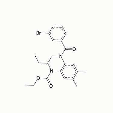 CCOC(=O)N1c2cc(C)c(C)cc2N(C(=O)c2cccc(Br)c2)CC1CC